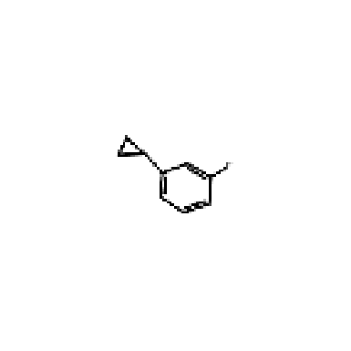 Fc1cccc(C2CC2)c1